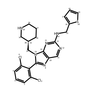 Clc1cccc(Cl)c1-c1nc2cnc(NCc3cccs3)nc2n1C[C@@H]1CCCNC1